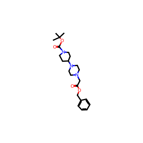 CC(C)(C)OC(=O)N1CCC(N2CCN(CC(=O)OCc3ccccc3)CC2)CC1